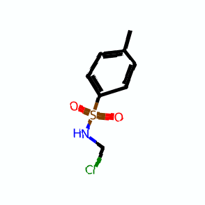 Cc1ccc(S(=O)(=O)NCCl)cc1